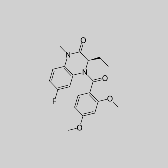 CC[C@@H]1C(=O)N(C)c2ccc(F)cc2N1C(=O)c1ccc(OC)cc1OC